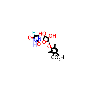 Cc1cc(C)c(C(=O)O)c(C)c1OC[C@@H]1O[C@H](n2cc(F)c(=O)[nH]c2=O)C(O)C1O